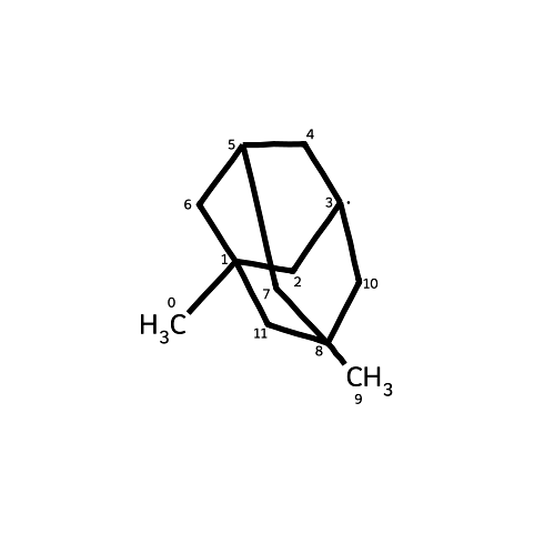 CC12C[C]3CC(C1)CC(C)(C3)C2